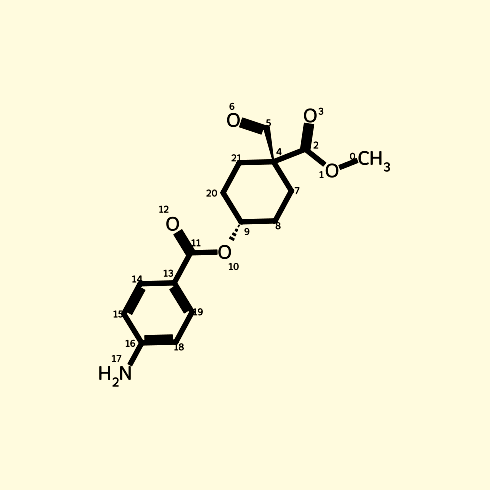 COC(=O)[C@]1(C=O)CC[C@H](OC(=O)c2ccc(N)cc2)CC1